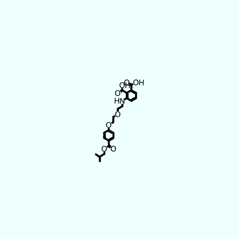 CC(C)COC(=O)c1ccc(OCCOCCNc2cccc(C(=O)O)c2C(=O)O)cc1